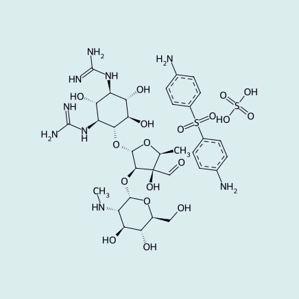 CN[C@@H]1[C@H](O[C@H]2[C@H](O[C@H]3[C@H](O)[C@@H](O)[C@H](NC(=N)N)[C@@H](O)[C@@H]3NC(=N)N)O[C@@H](C)[C@]2(O)C=O)O[C@@H](CO)[C@H](O)[C@H]1O.Nc1ccc(S(=O)(=O)c2ccc(N)cc2)cc1.O=S(=O)(O)O